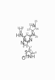 C=c1[nH]c(=O)s/c1=C\c1cnn2c(NC3CC3)cc(N(C)C3CCN(C)C3)nc12